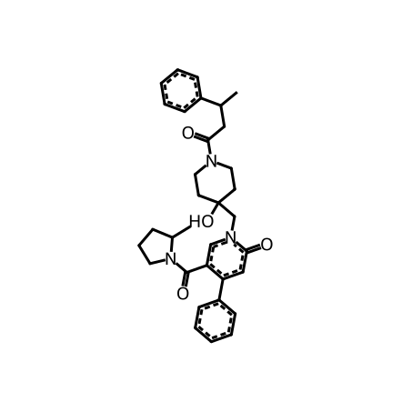 CC(CC(=O)N1CCC(O)(Cn2cc(C(=O)N3CCCC3C)c(-c3ccccc3)cc2=O)CC1)c1ccccc1